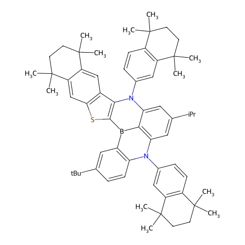 CC(C)c1cc2c3c(c1)N(c1ccc4c(c1)C(C)(C)CCC4(C)C)c1c(sc4cc5c(cc14)C(C)(C)CCC5(C)C)B3c1cc(C(C)(C)C)ccc1N2c1ccc2c(c1)C(C)(C)CCC2(C)C